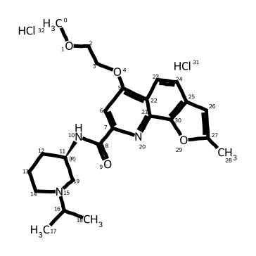 COCCOc1cc(C(=O)N[C@@H]2CCCN(C(C)C)C2)nc2c1ccc1cc(C)oc12.Cl.Cl